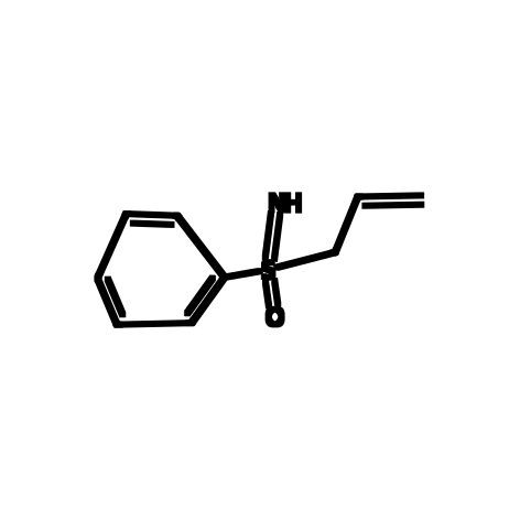 C=CCS(=N)(=O)c1ccccc1